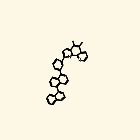 Cc1c(C)c2ccc(-c3cccc(-c4cccc5c(-c6cccc7ccccc67)cccc45)c3)nc2c2ncccc12